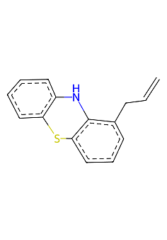 C=CCc1cccc2c1Nc1ccccc1S2